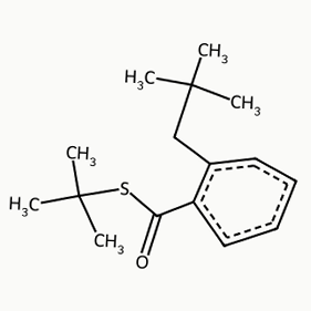 CC(C)(C)Cc1ccccc1C(=O)SC(C)(C)C